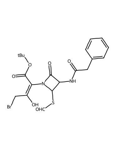 CC(C)(C)OC(=O)C(=C(O)CBr)N1C(=O)C(NC(=O)Cc2ccccc2)C1SC=O